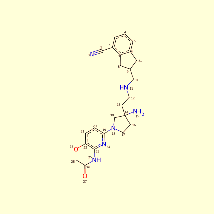 N#Cc1cccc2c1CC(CNCCC1(N)CCN(c3ccc4c(n3)NC(=O)CO4)C1)C2